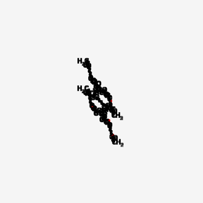 [C-]#[N+]C(C(=O)OCCCCCCOC(=O)C(C#N)=C1Sc2c(OC(=O)c3ccc(OCCCCCCOC(=O)C=C)cc3)ccc(OC(=O)c3ccc(OCCCCCCOC(=O)C=C)cc3)c2S1)=C1Sc2c(OC(=O)c3ccc(OCCCCCCOC(=O)C=C)cc3)ccc(OC(=O)c3ccc(OCCCCCCOC(=O)C=C)cc3)c2S1